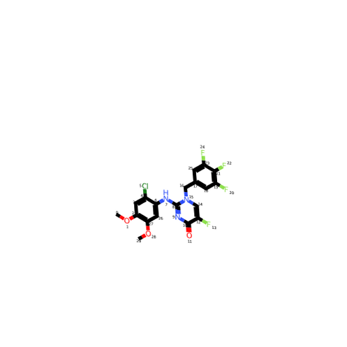 COc1cc(Cl)c(Nc2nc(=O)c(F)cn2Cc2cc(F)c(F)c(F)c2)cc1OC